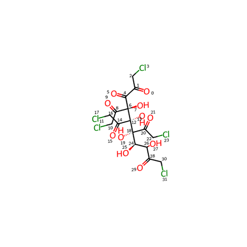 O=C(CCl)C(=O)[C@@](O)(C(=O)CCl)[C@](O)(C(=O)CCl)[C@@](O)(C(=O)CCl)[C@H](O)C(O)C(=O)CCl